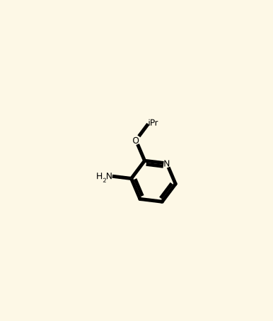 CC(C)Oc1ncccc1N